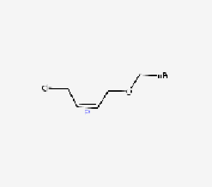 CCCCOC/C=C\CCl